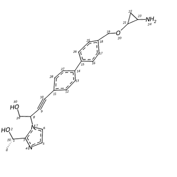 C[C@H](O)c1nccn1C(C#Cc1ccc(-c2ccc(COC3CC3N)cc2)cc1)CO